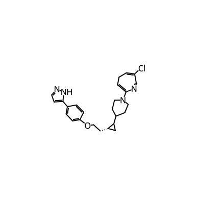 ClC1=CCC=C(N2CCC(C3C[C@@H]3CCOc3ccc(-c4ccn[nH]4)cc3)CC2)N=C1